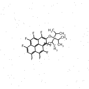 CC(C)[Si](Oc1c(F)c2c(F)c(F)c3c(F)[c]c(F)c4c(F)c(F)c(c1F)c2c34)(C(C)C)C(C)C